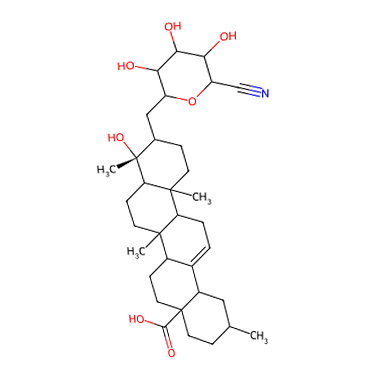 CC1CCC2(C(=O)O)CCC3C(=CCC4C3(C)CCC3C4(C)CCC(CC4OC(C#N)C(O)C(O)C4O)[C@@]3(C)O)C2C1